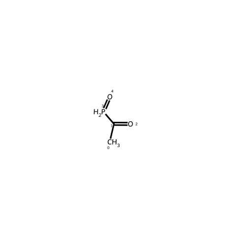 CC(=O)[PH2]=O